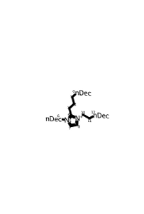 CCCCCCCCCCCCCc1n(CCCCCCCCCC)cc[n+]1CCCCCCCCCCCC